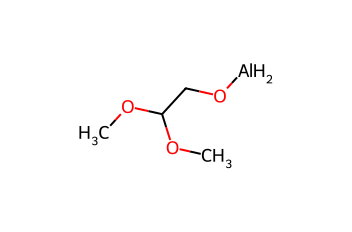 COC(C[O][AlH2])OC